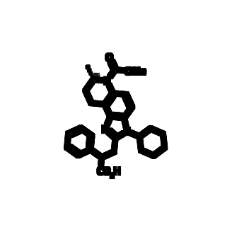 COC(=O)N1c2ccc3c(nc(CC(C(=O)O)c4ccccc4)n3C3CCCCC3)c2CC[C@@H]1C